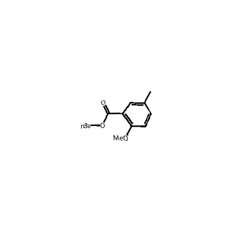 CCCCOC(=O)c1cc(C)ccc1OC